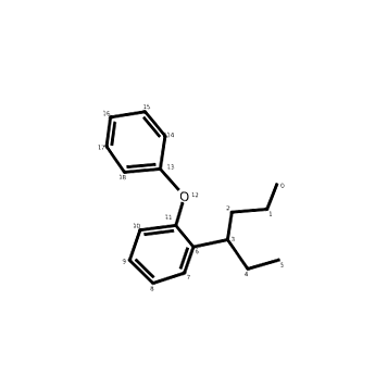 CCCC(CC)c1ccccc1Oc1[c]cccc1